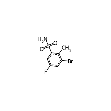 Cc1c(Br)cc(F)cc1S(N)(=O)=O